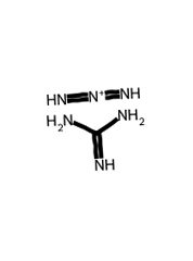 N=C(N)N.N=[N+]=N